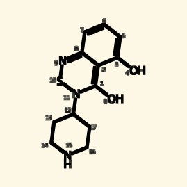 OC1=c2c(O)cccc2=NSN1C1CCNCC1